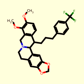 COc1ccc2c(c1OC)CN1CCc3cc4c(cc3C1C2CCCc1ccc(C(F)(F)F)cc1)OCO4